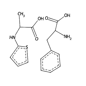 CC(Nc1cccs1)C(=O)O.NC(Cc1ccccc1)C(=O)O